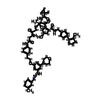 Cc1cccc(/C=N/Nc2cc(N3CCOCC3)nc(OCCc3ccc(NC(=O)CNC(=O)CSC(C)(C)[C@H](NC(=O)C4(F)CC4)C(=O)N4C[C@H](O)C[C@H]4C(=O)NCc4ccc(-c5scnc5C)cc4)cc3)n2)c1